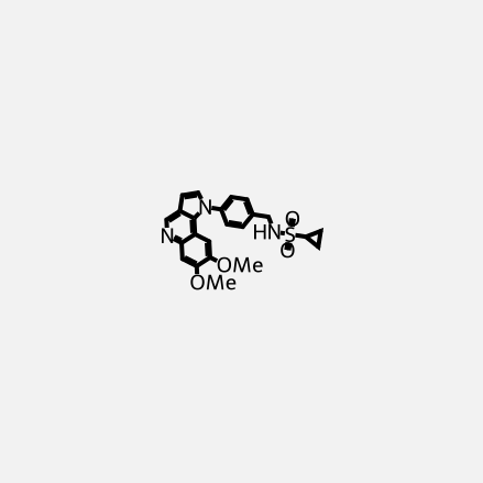 COc1cc2ncc3ccn(-c4ccc(CNS(=O)(=O)C5CC5)cc4)c3c2cc1OC